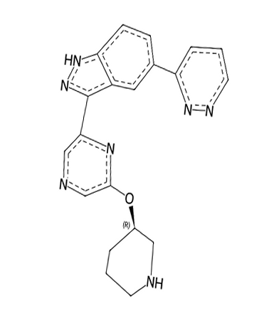 c1cnnc(-c2ccc3[nH]nc(-c4cncc(O[C@@H]5CCCNC5)n4)c3c2)c1